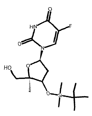 CC(C)(C)[Si](C)(C)OC1C[C@H](n2cc(F)c(=O)[nH]c2=O)O[C@]1(C)CO